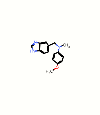 COc1ccc(N(C)Cc2ccc3[nH]cnc3c2)cc1